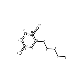 CCCCCc1cc(=O)ooc1=O